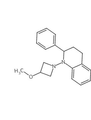 COC1CN(N2c3cc[c]cc3CCC2c2ccccc2)C1